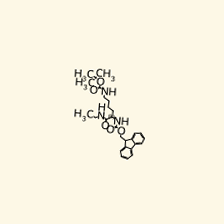 CCNC(=O)[C@@H](CCCCNC(=O)OC(C)(C)C)NC(=O)OCC1c2ccccc2-c2ccccc21